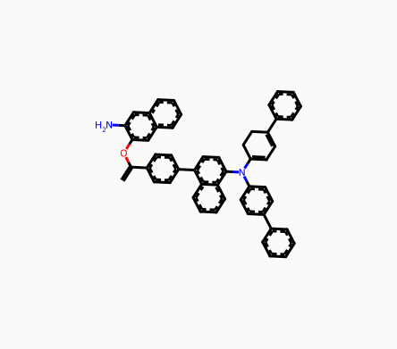 C=C(Oc1cc2ccccc2cc1N)c1ccc(-c2ccc(N(C3=CC=C(c4ccccc4)CC3)c3ccc(-c4ccccc4)cc3)c3ccccc23)cc1